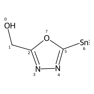 OCc1nn[c]([Sn])o1